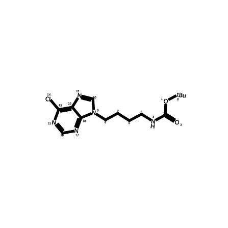 CC(C)(C)OC(=O)NCCCCn1cnc2c(Cl)ncnc21